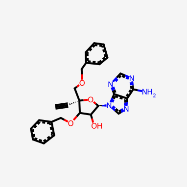 C#C[C@]1(COCc2ccccc2)O[C@@H](n2cnc3c(N)ncnc32)C(O)C1OCc1ccccc1